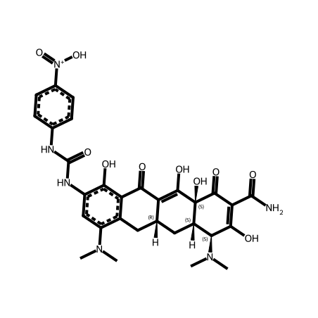 CN(C)c1cc(NC(=O)Nc2ccc([N+](=O)O)cc2)c(O)c2c1C[C@H]1C[C@H]3[C@H](N(C)C)C(O)=C(C(N)=O)C(=O)[C@@]3(O)C(O)=C1C2=O